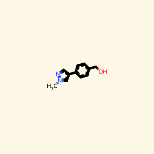 Cn1cc(-c2ccc(CO)cc2)cn1